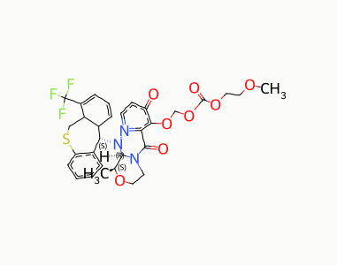 COCCOC(=O)OCOc1c2n(ccc1=O)N([C@@H]1c3ccccc3SCC3C(C(F)(F)F)=CC=CC31)[C@@H]1[C@H](C)OCCN1C2=O